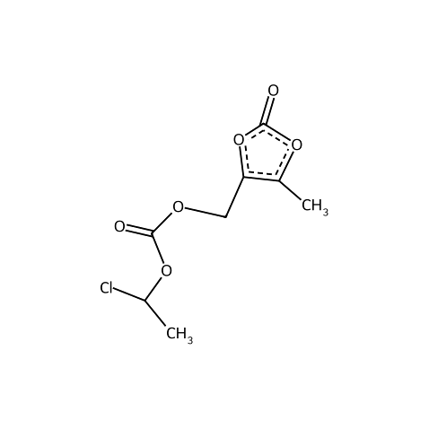 Cc1oc(=O)oc1COC(=O)OC(C)Cl